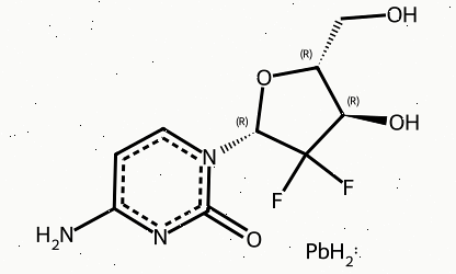 Nc1ccn([C@@H]2O[C@H](CO)[C@@H](O)C2(F)F)c(=O)n1.[PbH2]